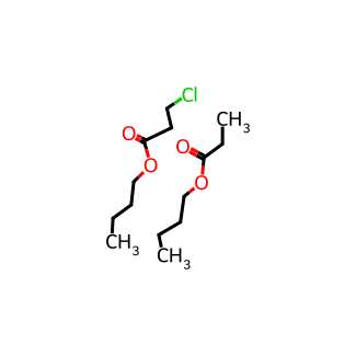 CCCCOC(=O)CC.CCCCOC(=O)CCCl